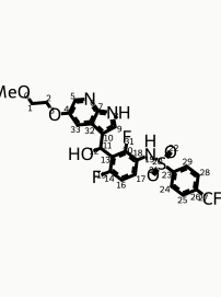 COCCOc1cnc2[nH]cc(C(O)c3c(F)ccc(NS(=O)(=O)c4ccc(C(F)(F)F)cc4)c3F)c2c1